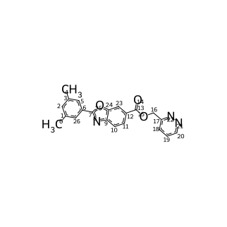 Cc1cc(C)cc(-c2nc3ccc(C(=O)OCc4cccnn4)cc3o2)c1